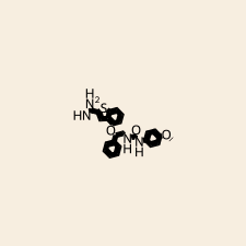 COc1ccc(NC(=O)NCC(Oc2cccc3sc(C(=N)N)cc23)c2ccccc2)cc1